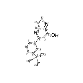 Oc1cc(-c2cccc(C(F)(F)F)c2)nc2ccnn12